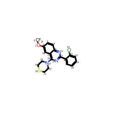 FC(F)(F)Oc1ccc2nc(-c3ccccc3Cl)nc(N3CCSCC3)c2c1